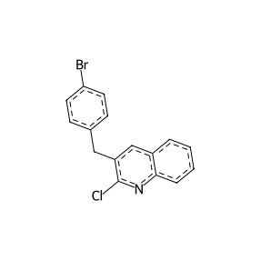 Clc1nc2ccccc2cc1Cc1ccc(Br)cc1